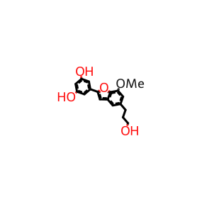 COc1cc(CCCO)cc2cc(-c3cc(O)cc(O)c3)oc12